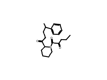 CCCC(=O)C(=O)N1CCCCC1C(=O)CCC(C)c1ccccc1